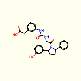 O=C(O)Cc1cccc(NC(=O)NCC(=O)N2C(c3ccccc3)CCC2c2cccc(O)c2)c1